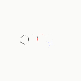 C[N+](C)(C)C[C@@H](CC(=O)O)OC(=O)Cc1ccccc1